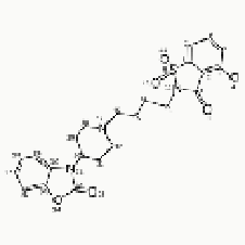 O=C1c2c(Cl)cccc2S(=O)(=O)N1CCCCN1CCC(n2c(=O)oc3ccccc32)CC1